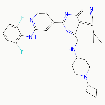 Fc1cccc(F)c1Nc1cc(-c2nc(CNC3CCN(C4CCC4)CC3)c3c(C4CC4)cncc3n2)ccn1